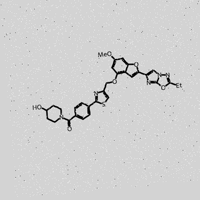 CCc1nn2cc(-c3cc4c(OCc5csc(-c6ccc(C(=O)N7CCC(O)CC7)cc6)n5)cc(OC)cc4o3)nc2o1